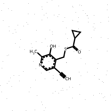 C#Cc1cnc(C)c(O)c1CSC(=O)C1CC1